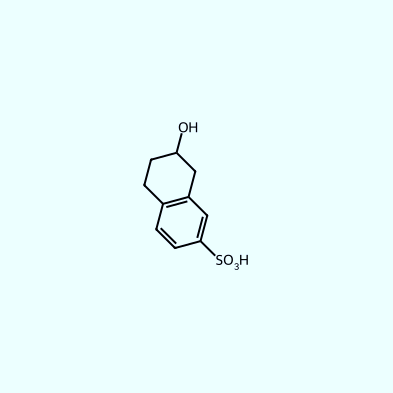 O=S(=O)(O)c1ccc2c(c1)CC(O)CC2